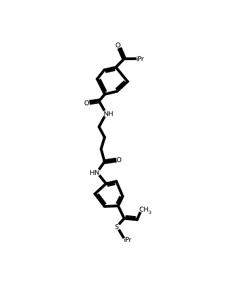 C/C=C(/SC(C)C)c1ccc(NC(=O)CCCNC(=O)c2ccc(C(=O)C(C)C)cc2)cc1